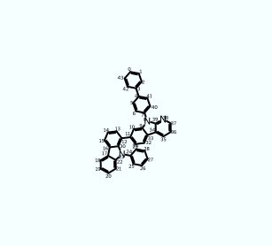 c1ccc(-c2ccc(-n3c4cc(-c5cccc6c7ccccc7n(-c7ccccc7)c56)ccc4c4cccnc43)cc2)cc1